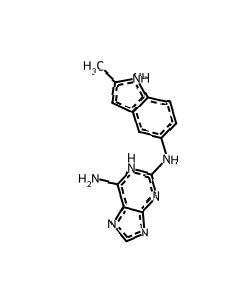 Cc1cc2cc(Nc3nc4ncnc-4c(N)[nH]3)ccc2[nH]1